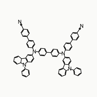 N#Cc1ccc(-c2ccc(N(c3ccc(-c4ccc(N(c5ccc(-c6ccc(C#N)cc6)cc5)c5ccc6c(c5)c5ccccc5n6-c5ccccc5)cc4)cc3)c3ccc4c(c3)C3C=CC=CC3N4c3ccccc3)cc2)cc1